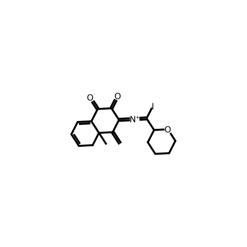 C=C1C(=[N+]=C(I)C2CCCCO2)C(=O)C(=O)C2=CC=CCC12C